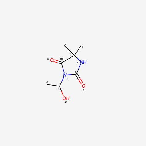 CC(O)N1C(=O)NC(C)(C)C1=O